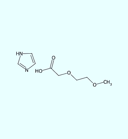 COCCOCC(=O)O.c1c[nH]cn1